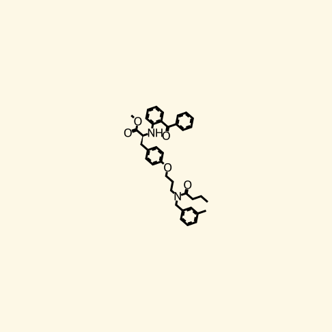 CCCC(=O)N(CCCOc1ccc(C[C@H](Nc2ccccc2C(=O)c2ccccc2)C(=O)OC)cc1)Cc1cccc(C)c1